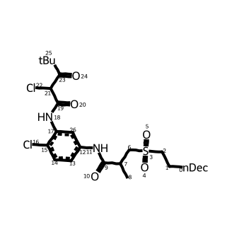 CCCCCCCCCCCCS(=O)(=O)CC(C)C(=O)Nc1ccc(Cl)c(NC(=O)C(Cl)C(=O)C(C)(C)C)c1